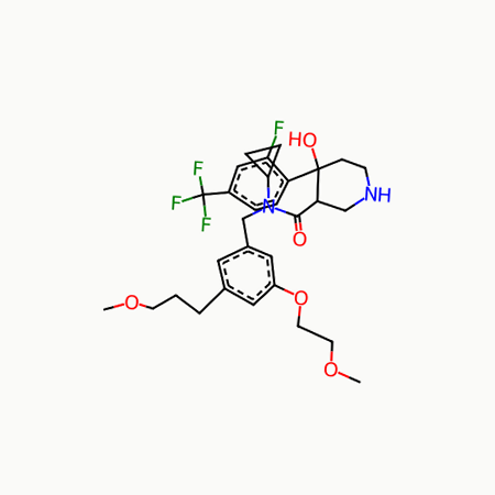 COCCCc1cc(CN(C(=O)C2CNCCC2(O)c2ccc(C(F)(F)F)cc2F)C2CC2)cc(OCCOC)c1